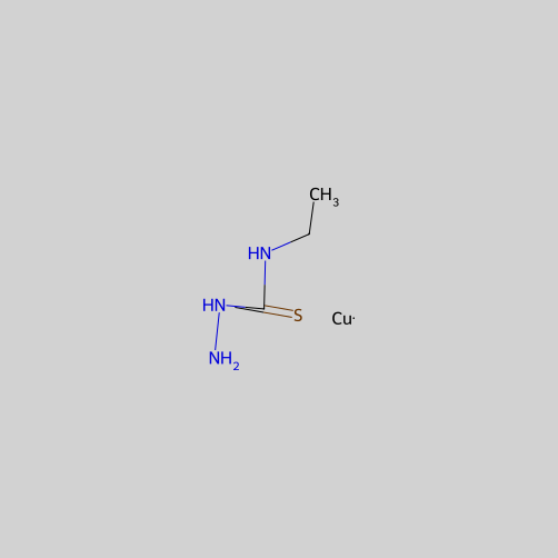 CCNC(=S)NN.[Cu]